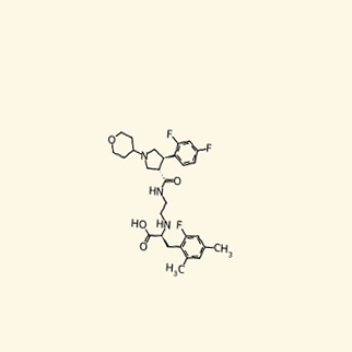 Cc1cc(C)c(C[C@H](NCCNC(=O)[C@@H]2CN(C3CCOCC3)C[C@H]2c2ccc(F)cc2F)C(=O)O)c(F)c1